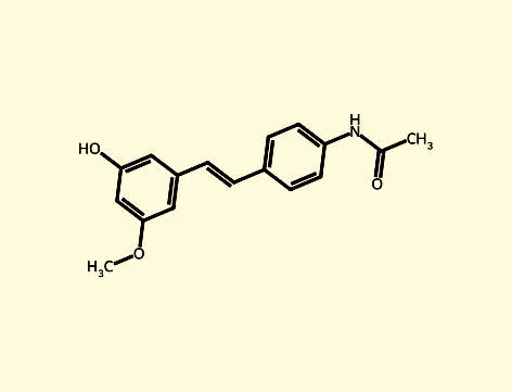 COc1cc(O)cc(/C=C/c2ccc(NC(C)=O)cc2)c1